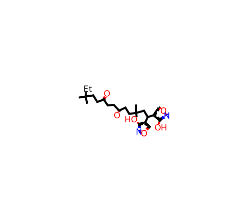 CCC(C)(C)CCC(=O)CCC(=O)CCC(C)(C)CC(c1conc1O)c1conc1O